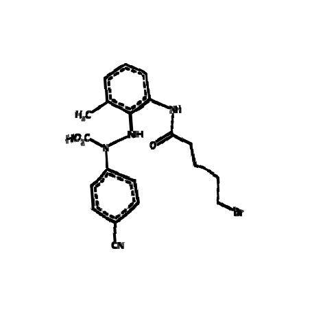 Cc1cccc(NC(=O)CCCCBr)c1NN(C(=O)O)c1ccc(C#N)cc1